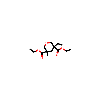 CCOC(=O)C1(C)COCC(CC)(C(=O)OCC)C1